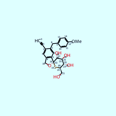 C#Cc1cc2c(cc1Cc1ccc(OC)cc1)[C@]1(OC2)S[C@H](CO)[C@@H](O)[C@H](O)[C@H]1O